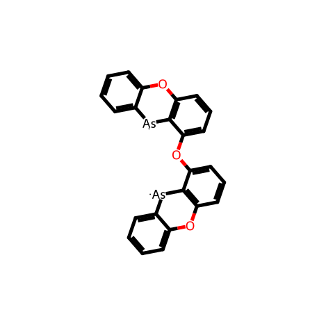 c1ccc2c(c1)Oc1cccc(Oc3cccc4c3[As]c3ccccc3O4)c1[As]2